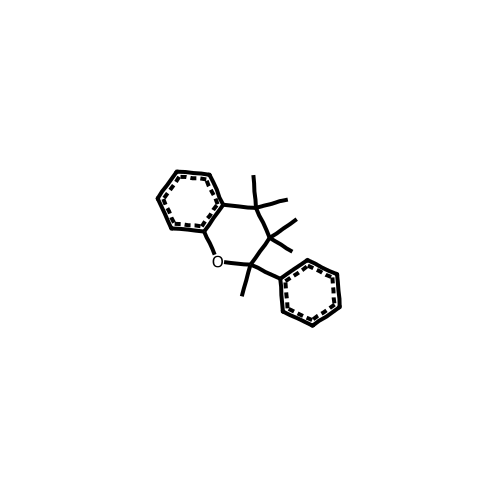 CC1(C)c2ccccc2OC(C)(c2ccccc2)C1(C)C